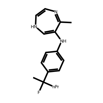 CCCC(C)(F)c1ccc(NC2=CNC=CN=C2C)cc1